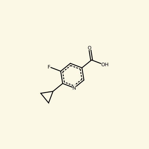 O=C(O)c1cnc(C2CC2)c(F)c1